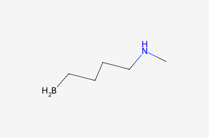 BCCCCNC